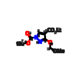 CCOC(=O)c1cn(C(=O)OC(C)(C)C)nc1OCOC